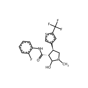 CN1C[C@H](c2csc(C(F)(F)F)c2)[C@@H](C(=O)Nc2ccccc2F)C1O